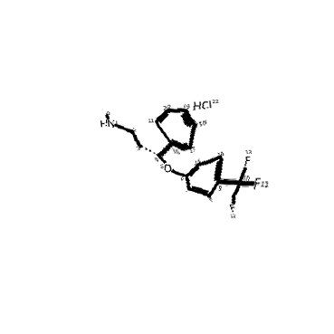 CNCC[C@@H](Oc1ccc(C(F)(F)F)cc1)c1ccccc1.Cl